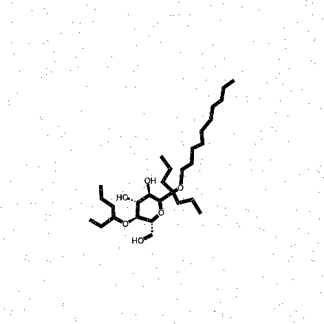 CCCCCCCCCCOC(CCC)(CCC)C1O[C@H](CO)[C@@H](OC(CC)CCC)[C@H](O)[C@H]1O